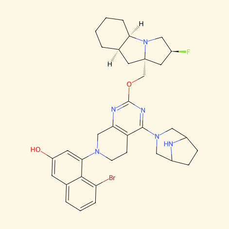 Oc1cc(N2CCc3c(nc(OC[C@@]45C[C@H](F)CN4[C@@H]4CCCC[C@@H]4C5)nc3N3CC4CCC(C3)N4)C2)c2c(Br)cccc2c1